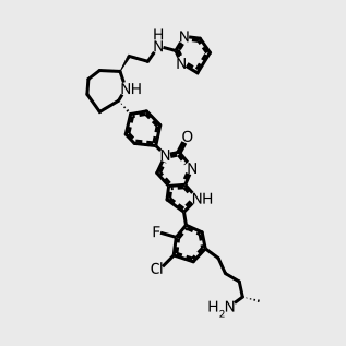 C[C@H](N)CCCc1cc(Cl)c(F)c(-c2cc3cn(-c4ccc([C@@H]5CCCC[C@@H](CCNc6ncccn6)N5)cc4)c(=O)nc3[nH]2)c1